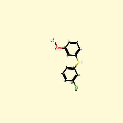 CCCCOc1cccc(Sc2cccc(Cl)c2)c1